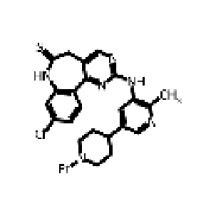 CCN1CCC(c2cnc(C)c(Nc3ncc4c(n3)-c3ccc(Cl)cc3NC(=S)C4)c2)CC1